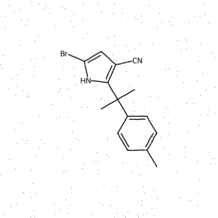 Cc1ccc(C(C)(C)c2[nH]c(Br)cc2C#N)cc1